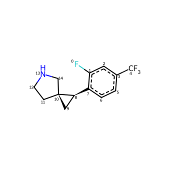 Fc1cc(C(F)(F)F)ccc1[C@H]1C[C@]12CCNC2